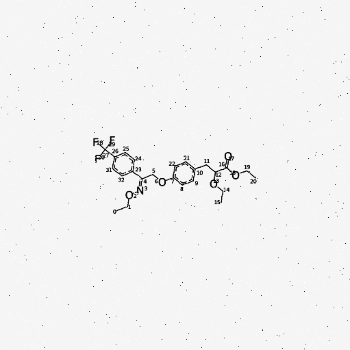 CCON=C(COc1ccc(CC(OCC)C(=O)OCC)cc1)c1ccc(C(F)(F)F)cc1